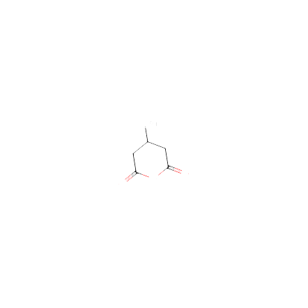 CC(C)(C)C1CC(=O)OC(=O)C1